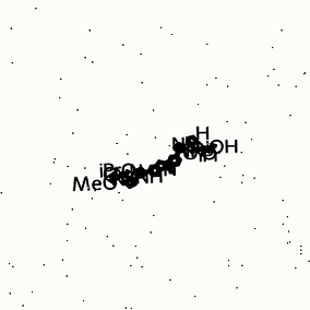 COC(=O)N[C@H](C(=O)N1CCC[C@H]1c1ncc(-c2ccc3c(c2)Cc2c-3n(C)c3ccc(-c4cnc([C@@H]5CCCN5C(=O)[C@@H](NC(=O)CO)C(C)C)[nH]4)cc23)[nH]1)C(C)C